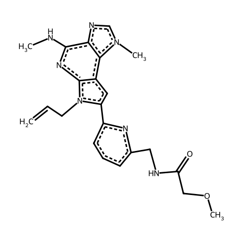 C=CCn1c(-c2cccc(CNC(=O)COC)n2)cc2c3c(ncn3C)c(NC)nc21